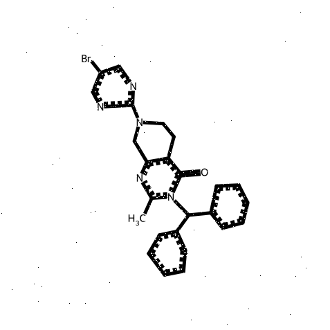 Cc1nc2c(c(=O)n1C(c1ccccc1)c1ccccc1)CCN(c1ncc(Br)cn1)C2